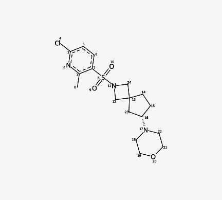 Cc1nc(Cl)ccc1S(=O)(=O)N1CC2(CC[C@H](N3CCOCC3)C2)C1